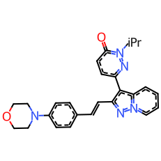 CC(C)n1nc(-c2c(C=Cc3ccc(N4CCOCC4)cc3)nn3ccccc23)ccc1=O